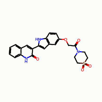 O=C(COc1ccc2[nH]c(-c3cc4ccccc4[nH]c3=O)cc2c1)N1CCS(=O)(=O)CC1